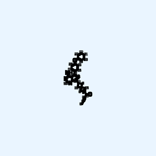 CC#CC(=O)N1CC2(CC(n3nc(-c4ccc(Oc5ccccc5)cc4)c4c(N)ncnc43)C2)C1